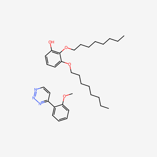 CCCCCCCCOc1cccc(O)c1OCCCCCCCC.COc1ccccc1-c1ccnnn1